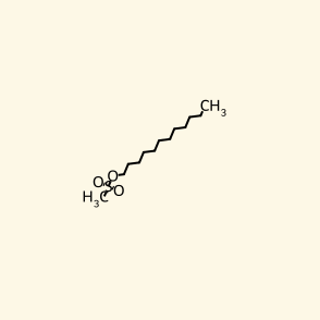 CCCCCCCCCCCCOS(C)(=O)=O